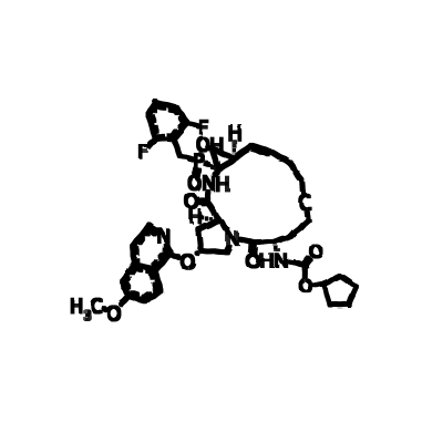 COc1ccc2c(O[C@@H]3C[C@H]4C(=O)N[C@]5(P(=O)(O)Cc6c(F)cccc6F)C[C@H]5/C=C\CCCCC[C@H](NC(=O)OC5CCCC5)C(=O)N4C3)nccc2c1